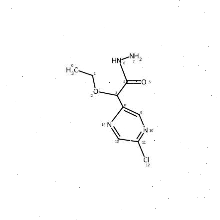 CCOC(C(=O)NN)c1cnc(Cl)cn1